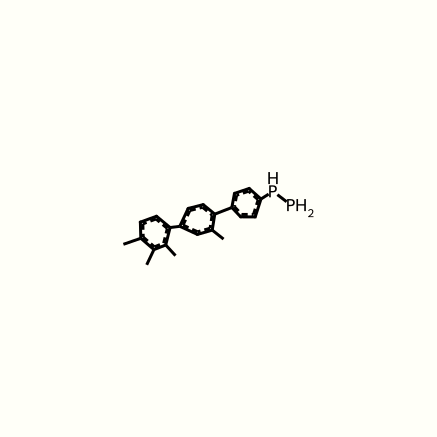 Cc1cc(-c2ccc(C)c(C)c2C)ccc1-c1ccc(PP)cc1